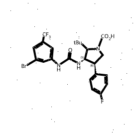 CC(C)(C)C1[C@@H](NC(=O)Nc2cc(Br)cc(C(F)(F)F)c2)[C@H](c2ccc(F)cc2)CN1C(=O)O